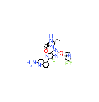 CC[C@@H]1CN2c3nc(OC[C@]45CCN4CC(F)(F)C5)nc4c(F)c(-c5cccc6nc(N)ccc56)nc(c34)O[C@@H](C)[C@@H]2CN1